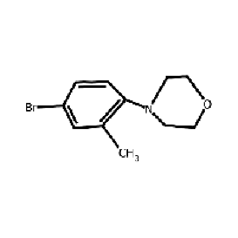 Cc1cc(Br)ccc1N1CCOCC1